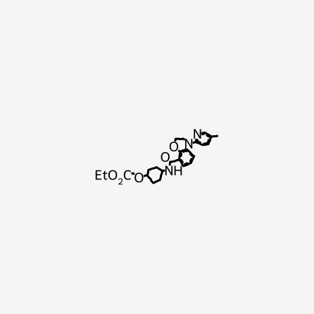 CCOC(=O)COC1CCC(NC(=O)c2cccc3c2OCCN3c2ccc(C)cn2)CC1